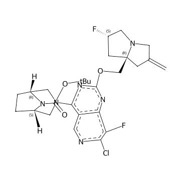 C=C1CN2C[C@@H](F)C[C@@]2(COc2nc(N3C[C@H]4CC[C@@H](C3)N4C(=O)OC(C)(C)C)c3cnc(Cl)c(F)c3n2)C1